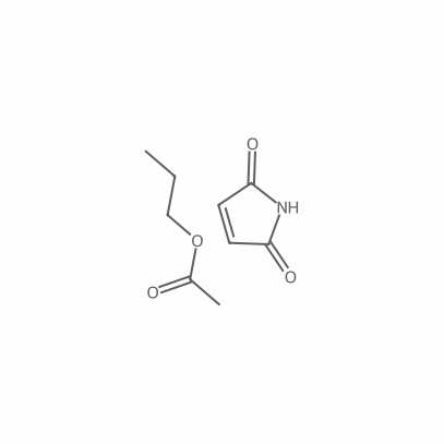 CCCOC(C)=O.O=C1C=CC(=O)N1